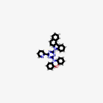 c1ccc(-c2nc(N3c4ccccc4Oc4ccccc43)nc(-n3c4ccccc4c4c5ccccc5ccc43)n2)nc1